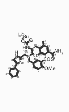 COc1ccc(CN(C(=O)[C@H](Cc2c(C)cc(C(N)=O)cc2C)NC(=O)OC(C)(C)C)[C@@H](C)c2nc(-c3ccccc3)c[nH]2)cc1C(=O)[O-].[Li+]